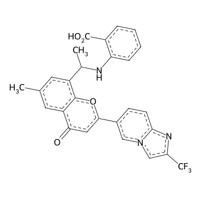 Cc1cc(C(C)Nc2ccccc2C(=O)O)c2oc(-c3ccc4nc(C(F)(F)F)cn4c3)cc(=O)c2c1